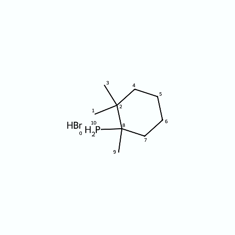 Br.CC1(C)CCCCC1(C)P